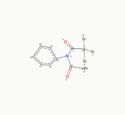 CCCC(=O)N(C(=O)C(Br)(Br)Br)c1ccccc1